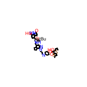 Cc1ccc([C@@](O)(C(=O)O[C@H]2CC[C@H](N(C)CCCn3cnc4cc(CNC[C@H](O[Si](C)(C)C(C)(C)C)c5ccc(O)c6[nH]c(=O)ccc56)c5c(c43)CCC5)CC2)c2cccs2)s1